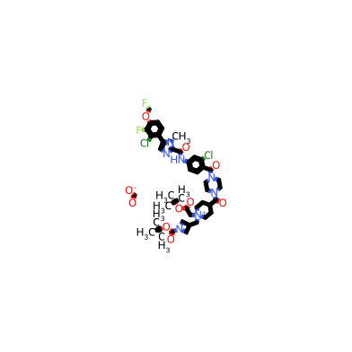 Cn1c(-c2ccc(OCF)c(F)c2Cl)cnc1C(=O)Nc1ccc(C(=O)N2CCN(C(=O)C3CC[N+](CC(=O)OC(C)(C)C)(CC4CN(C(=O)OC(C)(C)C)C4)CC3)CC2)c(Cl)c1.O=C[O-]